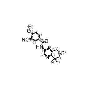 CCOc1ccc(C(=O)Nc2cnc3c(c2)CN(C)CC3(C)C)cc1C#N